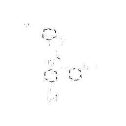 COc1ccc2c(c1)CC(C(=O)Nc1ccc(C3C=NNC3)cc1Oc1cccc(NC(C)=O)c1)CO2